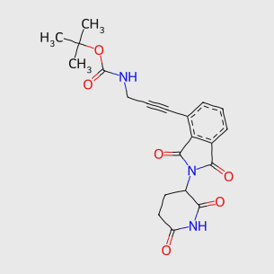 CC(C)(C)OC(=O)NCC#Cc1cccc2c1C(=O)N(C1CCC(=O)NC1=O)C2=O